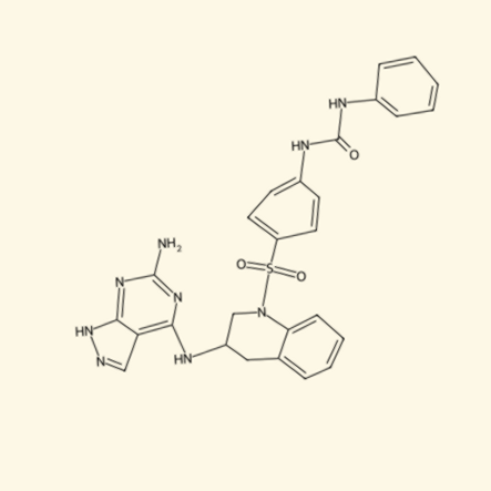 Nc1nc(NC2Cc3ccccc3N(S(=O)(=O)c3ccc(NC(=O)Nc4ccccc4)cc3)C2)c2cn[nH]c2n1